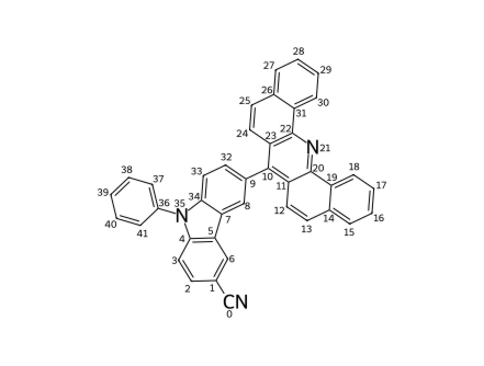 N#Cc1ccc2c(c1)c1cc(-c3c4ccc5ccccc5c4nc4c3ccc3ccccc34)ccc1n2-c1ccccc1